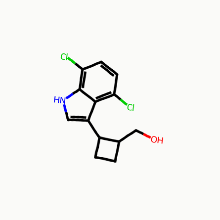 OCC1CCC1c1c[nH]c2c(Cl)ccc(Cl)c12